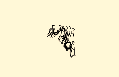 C=C(CCNC(=O)COc1ccc(Cl)c(F)c1)NC(=O)c1coc(C(F)(F)F)c1